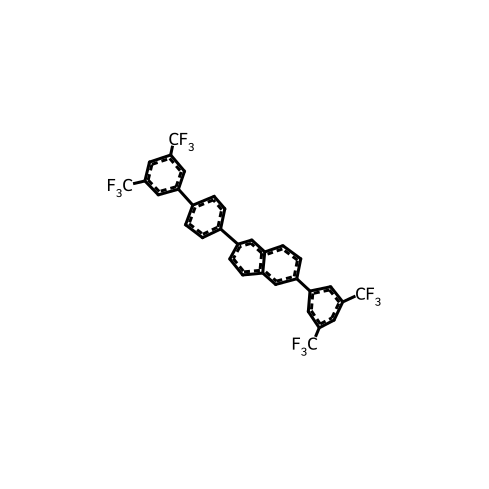 FC(F)(F)c1cc(-c2ccc(-c3ccc4cc(-c5cc(C(F)(F)F)cc(C(F)(F)F)c5)ccc4c3)cc2)cc(C(F)(F)F)c1